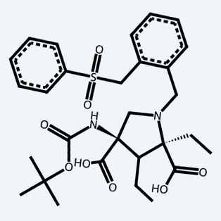 CCC1[C@](CC)(C(=O)O)N(Cc2ccccc2CS(=O)(=O)c2ccccc2)C[C@@]1(NC(=O)OC(C)(C)C)C(=O)O